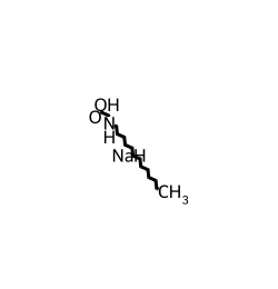 CCCCCCCCCCCCCNCC(=O)O.[NaH]